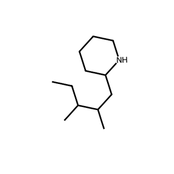 CCC(C)C(C)CC1CCCCN1